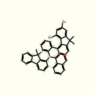 CC(C)(C)c1cc(C(C)(C)C)c2c(c1)C(C)(C)c1cccc(-c3ccccc3N(c3cccc4c3C(C)(C)c3ccccc3-4)c3cccc4ccccc34)c1-2